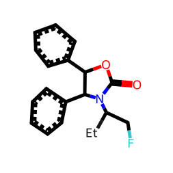 CCC(CF)N1C(=O)OC(c2ccccc2)C1c1ccccc1